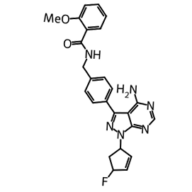 COc1ccccc1C(=O)NCc1ccc(-c2nn(C3C=CC(F)C3)c3ncnc(N)c23)cc1